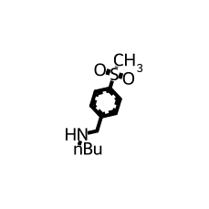 CCCCNCc1ccc(S(C)(=O)=O)cc1